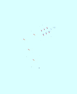 O=P([O-])([O-])[O-].O=P([O-])([O-])[O-].O=P([O-])([O-])[O-].O=P([O-])([O-])[O-].[Ni+2].[Ni+2].[Ni+2].[O]=[U+2]=[O].[O]=[U+2]=[O].[O]=[U+2]=[O]